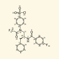 O=C(N[C@@H](Cc1ccccc1)CN(C(=O)C(F)(F)F)c1ccc(S(=O)(=O)Cl)cc1)c1ccc(F)cc1